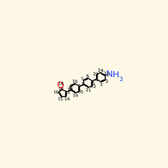 Nc1ccc(-c2ccc(-c3ccc(C4=CC=CC4=O)cc3)cc2)cc1